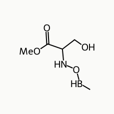 CBONC(CO)C(=O)OC